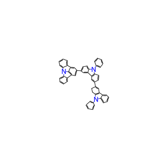 C1=C(c2ccc3c(c2)c2cc(-c4cc5c6ccccc6n6c7ccccc7c(c4)c56)ccc2n3-c2ccccc2)CCc2c1c1ccccc1n2-c1ccccc1